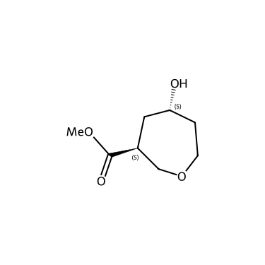 COC(=O)[C@@H]1COCC[C@@H](O)C1